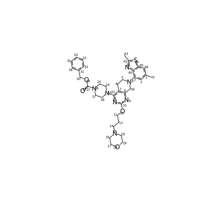 Cc1cc(N2CCc3c(nc(OCCCN4CCOCC4)nc3N3CCN(C(=O)OCc4ccccc4)CC3)C2)c2nc(C)sc2c1